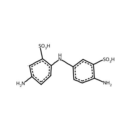 Nc1[c]c(S(=O)(=O)O)c(Nc2ccc(N)c(S(=O)(=O)O)c2)cc1